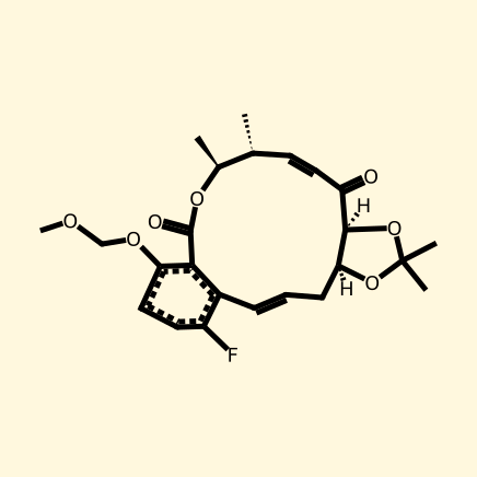 COCOc1ccc(F)c2c1C(=O)O[C@@H](C)[C@H](C)/C=C\C(=O)[C@H]1OC(C)(C)O[C@H]1C/C=C/2